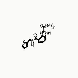 NC(=O)c1nc2c(C(=O)NCc3cccs3)cccc2[nH]1